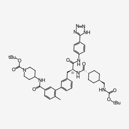 Cc1ccc(C(=O)NC2CCN(C(=O)OC(C)(C)C)CC2)cc1-c1cccc(C[C@H](NC(=O)[C@H]2CC[C@H](CNC(=O)OC(C)(C)C)CC2)C(=O)Nc2ccc(-c3nnn[nH]3)cc2)c1